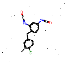 Cc1cc(Cc2ccc(N=C=O)cc2N=C=O)ccc1Cl